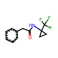 O=C(Cc1ccccc1)NC1(C(F)(F)F)CC1